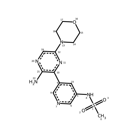 CS(=O)(=O)Nc1cncc(-c2nc(N3CCOCC3)cnc2N)c1